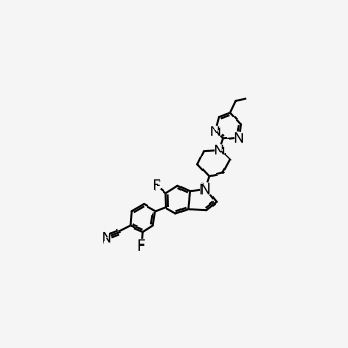 CCc1cnc(N2CCC(n3ccc4cc(-c5ccc(C#N)c(F)c5)c(F)cc43)CC2)nc1